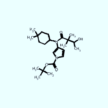 CC(O)C(C)(C)C(=O)N(c1ccn(C(=O)OC(C)(C)C)c1)C1CCC(C)(C)CC1